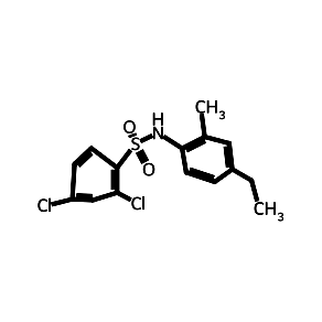 CCc1ccc(NS(=O)(=O)c2ccc(Cl)cc2Cl)c(C)c1